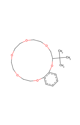 CC(C)(C)C1COCCOCCOCCOCCOc2ccccc2O1